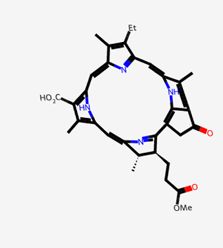 CCC1=C(C)c2cc3[nH]c(cc4nc(c5c6[nH]c(cc1n2)c(C)c6C(=O)C5)[C@@H](CCC(=O)OC)[C@@H]4C)c(C)c3C(=O)O